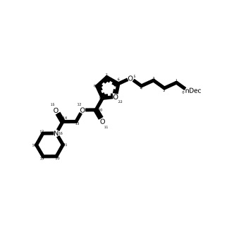 CCCCCCCCCCCCCCOc1ccc(C(=O)OCC(=O)N2CCCCC2)o1